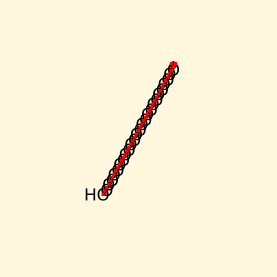 OCCOCCOCCOCCOCCOCCOCCOCCOCCOCCOCCOCCOCCOCCOCCOCCOCCOCCOCCOCCOCCOCCOCCOCCOCCOc1ccccc1